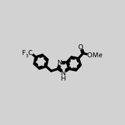 COC(=O)c1ccc2[nH]c(Cc3ccc(C(F)(F)F)cc3)nc2c1